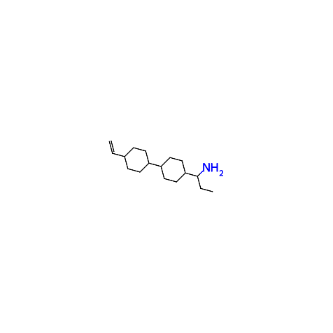 C=CC1CCC(C2CCC(C(N)CC)CC2)CC1